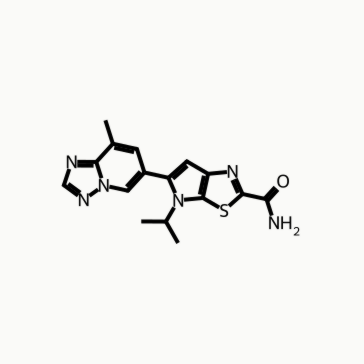 Cc1cc(-c2cc3nc(C(N)=O)sc3n2C(C)C)cn2ncnc12